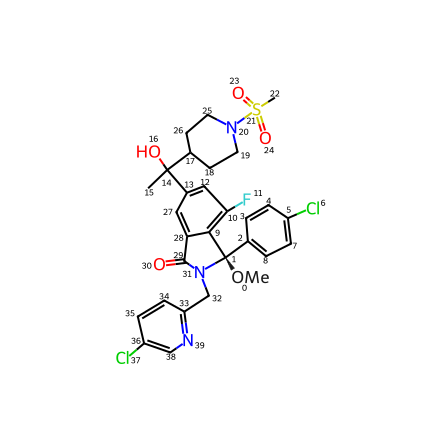 CO[C@]1(c2ccc(Cl)cc2)c2c(F)cc(C(C)(O)C3CCN(S(C)(=O)=O)CC3)cc2C(=O)N1Cc1ccc(Cl)cn1